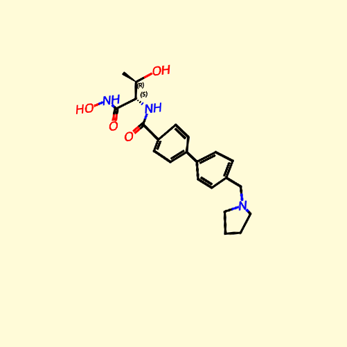 C[C@@H](O)[C@H](NC(=O)c1ccc(-c2ccc(CN3CCCC3)cc2)cc1)C(=O)NO